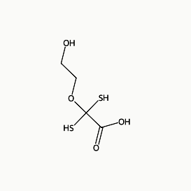 O=C(O)C(S)(S)OCCO